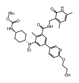 CCN(c1cc(-c2ccc(OCCO)nc2)cc(C(=O)NCc2c(C)cc(C)[nH]c2=O)c1C)[C@H]1CC[C@H](NC(=O)OC(C)(C)C)CC1